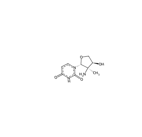 C[C@@]1(N)[C@H](O)CO[C@H]1n1ccc(=O)[nH]c1=O